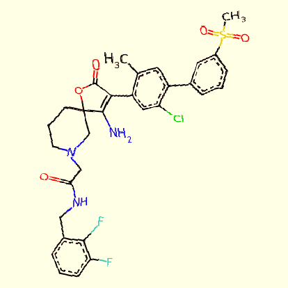 Cc1cc(-c2cccc(S(C)(=O)=O)c2)c(Cl)cc1C1=C(N)C2(CCCN(CC(=O)NCc3cccc(F)c3F)C2)OC1=O